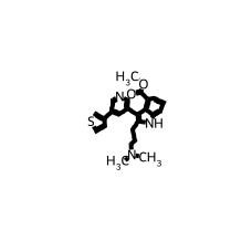 COC(=O)c1cccc2[nH]c(CCCN(C)C)c(-c3cncc(-c4ccsc4)c3)c12